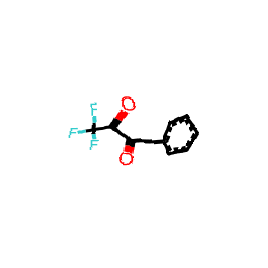 O=C(C(=O)C(F)(F)F)c1ccccc1